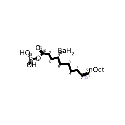 CCCCCCCC/C=C\CCCCCCCC(=O)OP(O)O.[BaH2]